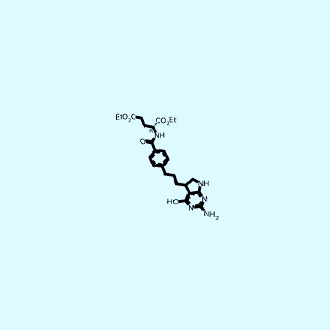 CCOC(=O)CC[C@@H](NC(=O)c1ccc(CCCC2CNc3nc(N)nc(O)c32)cc1)C(=O)OCC